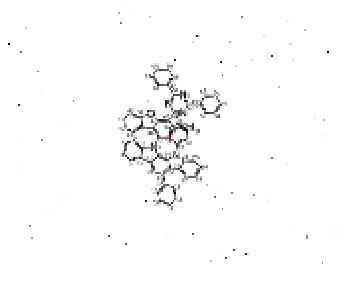 Cc1cc(-n2c3ccccc3c3cc(-c4ccccc4)c4c5ccccc5n(-c5ccccc5)c4c32)c2c(oc3ccccc32)c1-c1nc(-c2ccccc2)nc(-c2ccccc2)n1